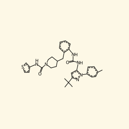 Cc1ccc(-n2nc(C(C)(C)C)cc2NC(=O)Nc2ccccc2CC2CCN(C(=O)Nc3ccsc3)CC2)cc1